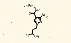 CCCCCNC(=O)c1cn(CCC(O)CC)nc1[N+](=O)[O-]